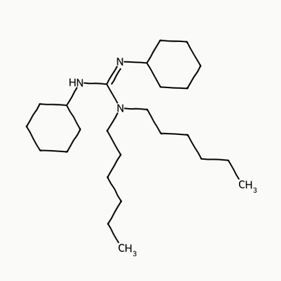 CCCCCCN(CCCCCC)/C(=N\C1CCCCC1)NC1CCCCC1